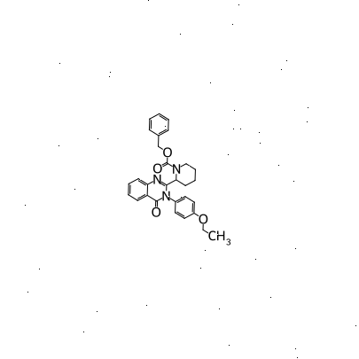 CCOc1ccc(-n2c(C3CCCCN3C(=O)OCc3ccccc3)nc3ccccc3c2=O)cc1